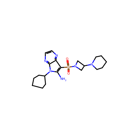 Nc1c(S(=O)(=O)N2CC(N3CCCCC3)C2)c2nccnc2n1C1CCCCC1